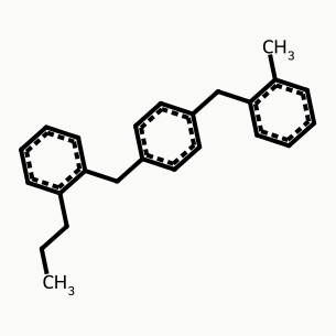 CCCc1ccccc1Cc1ccc(Cc2ccccc2C)cc1